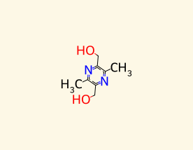 Cc1nc(CO)c(C)nc1CO